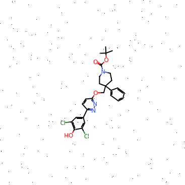 CC(C)(C)OC(=O)N1CCC(COc2ccc(-c3cc(Cl)c(O)c(Cl)c3)nn2)(c2ccccc2)CC1